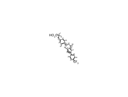 Cc1cc(SC(C)(C)C(=O)O)ccc1OCC(C)c1cn(-c2ccc(C(F)(F)F)cc2)nc1C